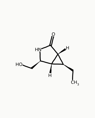 CC[C@@H]1[C@H]2C(=O)N[C@H](CO)[C@@H]12